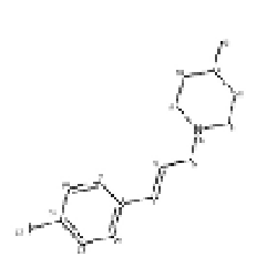 CC1CCN(CC=Cc2ccc(I)cc2)CC1